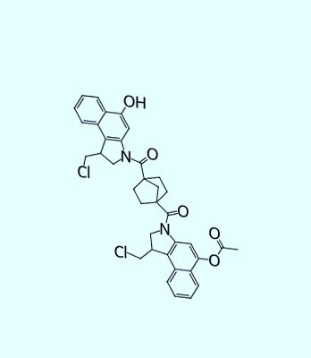 CC(=O)Oc1cc2c(c3ccccc13)C(CCl)CN2C(=O)C12CCC(C(=O)N3CC(CCl)c4c3cc(O)c3ccccc43)(CC1)C2